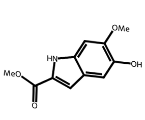 COC(=O)c1cc2cc(O)c(OC)cc2[nH]1